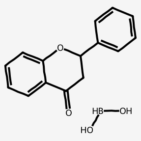 O=C1CC(c2ccccc2)Oc2ccccc21.OBO